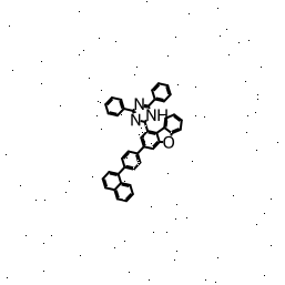 c1ccc(C2=NC(c3cc(-c4ccc(-c5cccc6ccccc56)cc4)cc4oc5ccccc5c34)NC(c3ccccc3)=N2)cc1